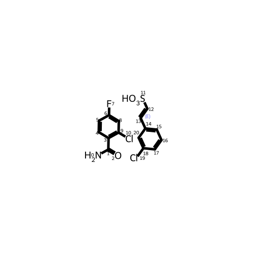 NC(=O)c1ccc(F)cc1Cl.O=S(=O)(O)/C=C/c1cccc(Cl)c1